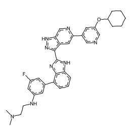 CN(C)CCNc1cc(F)cc(-c2cccc3[nH]c(-c4n[nH]c5cnc(-c6cncc(OC7CCCCC7)c6)cc45)nc23)c1